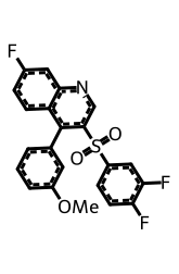 COc1cccc(-c2c(S(=O)(=O)c3ccc(F)c(F)c3)cnc3cc(F)ccc23)c1